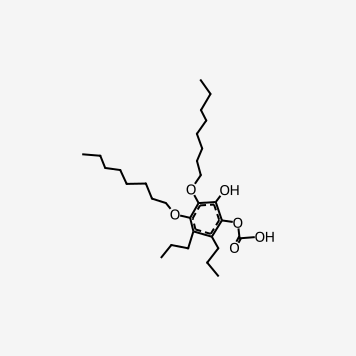 CCCCCCCCOc1c(O)c(OC(=O)O)c(CCC)c(CCC)c1OCCCCCCCC